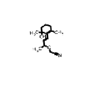 CC1=C(C=CC(C)OCC#N)C(C)(C)CCC1